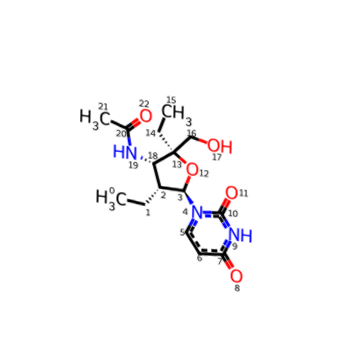 CC[C@H]1[C@H](n2ccc(=O)[nH]c2=O)O[C@](CC)(CO)[C@H]1NC(C)=O